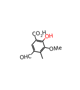 COc1c(C)c(C=O)cc(C(=O)O)c1O